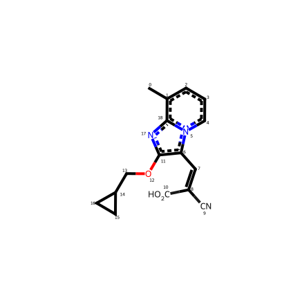 Cc1cccn2c(C=C(C#N)C(=O)O)c(OCC3CC3)nc12